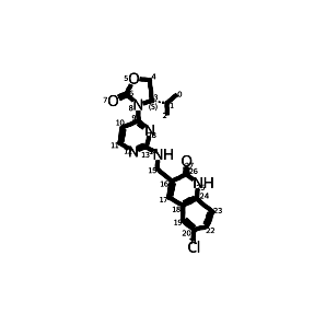 CC(C)[C@H]1COC(=O)N1c1ccnc(NCc2cc3cc(Cl)ccc3[nH]c2=O)n1